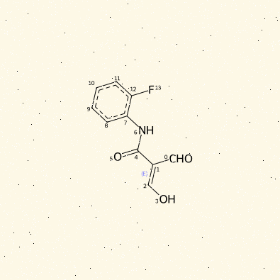 O=C/C(=C\O)C(=O)Nc1ccccc1F